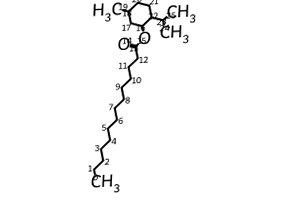 CCCCCCCCCCCCCC(=O)OC1CC(C)CCC1C(C)C